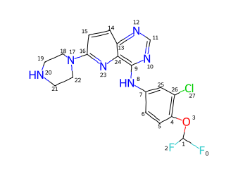 FC(F)Oc1ccc(Nc2ncnc3ccc(N4CCNCC4)nc23)cc1Cl